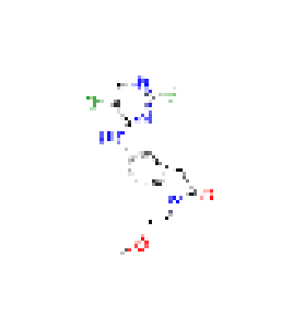 COCCN1C(=O)Cc2cc(Nc3nc(F)ncc3Cl)ccc21